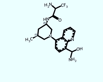 C[C@H]1C[C@@H](NC(=O)C(N)C(F)(F)F)CN(c2ccc(C(N)O)c3ncccc23)C1